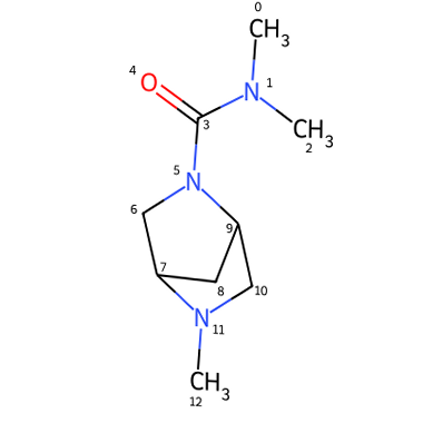 CN(C)C(=O)N1CC2CC1CN2C